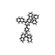 c1ccc(C2(c3ccccc3)c3ccccc3-c3cc4c(-c5ccc6ccccc6c5)cc(-c5ccc(-n6c7ccc8ccccc8c7c7c8ccccc8ccc76)cc5)nc4cc32)cc1